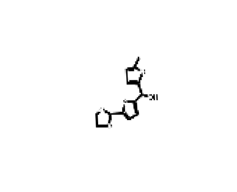 Cc1ccc(C(O)c2ccc(C3OCCO3)s2)o1